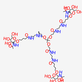 C=C(CCOCC(C)(COCCC(=O)NCCCNC(=O)CCCCOC1OC(CO)C(O)C(O)C1NC(C)=O)COCCC(=O)NCCCNC(=O)CCCCOC1OC(CO)C(O)C(O)[C@@H]1NC(C)=O)NCCCNC(=O)CCCCOC1OC(CO)C(O)C(O)[C@@H]1NC(C)=O